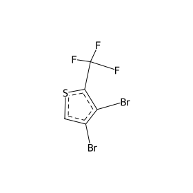 FC(F)(F)c1scc(Br)c1Br